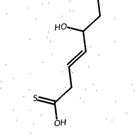 CCC(O)C=CCC(O)=S